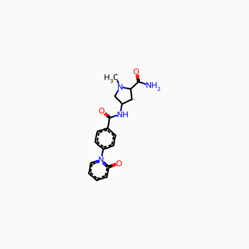 CN1CC(NC(=O)c2ccc(-n3ccccc3=O)cc2)[CH]C1C(N)=O